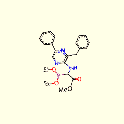 CCOP(OCC)C(Nc1ncc(-c2ccccc2)nc1Cc1ccccc1)C(=O)OC